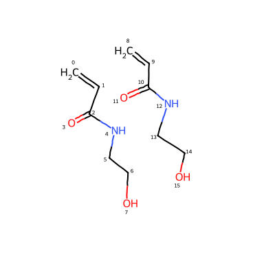 C=CC(=O)NCCO.C=CC(=O)NCCO